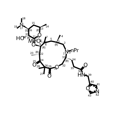 CCCN1C[C@H](C)C[C@@](C)(OC)[C@H](O[C@@H]2O[C@H](C)C[C@H](N(C)C)[C@H]2O)[C@@H](C)C(=O)C(C)(C)C(=O)OC[C@H]1CCC(=O)NCc1cnco1